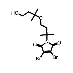 CC(C)(CCO)OCCC(C)(C)N1C(=O)C(Br)=C(Br)C1=O